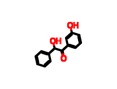 O=C(c1cccc(O)c1)C(O)c1ccccc1